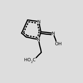 O=C(O)Cn1cccnc1=NO